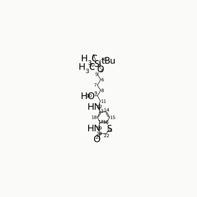 CC(C)(C)[Si](C)(C)OCCCCC(O)CNc1ccc2c(c1)NC(=O)CS2